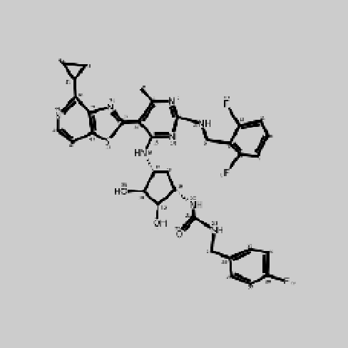 Cc1nc(NCc2c(F)cccc2F)nc(N[C@@H]2C[C@H](NC(=O)NCc3ccc(F)cc3)[C@@H](O)[C@H]2O)c1-c1nc2c(C3CC3)nccc2s1